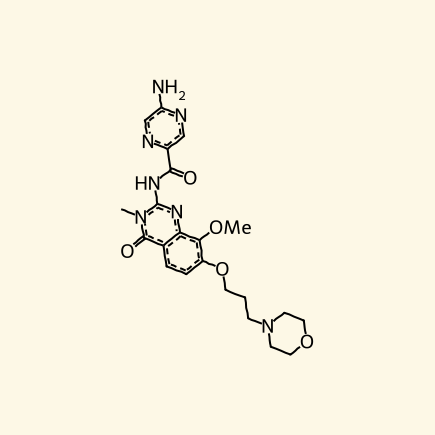 COc1c(OCCCN2CCOCC2)ccc2c(=O)n(C)c(NC(=O)c3cnc(N)cn3)nc12